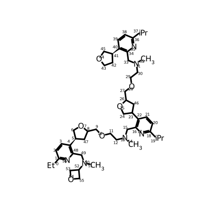 CCc1ccc([C@H]2COC(COCCN(C)Cc3nc(C(C)C)ccc3C3COC(COCCN(C)Cc4nc(C(C)C)ccc4[C@H]4CCOC4)C3)C2)c(CN(C)C2COC2)n1